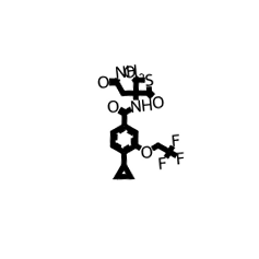 NC(=O)CC1(NC(=O)c2ccc(C3CC3)c(OCC(F)(F)F)c2)C(=O)SC1=O